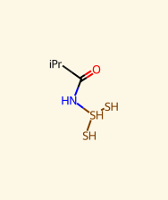 CC(C)C(=O)N[SH](S)S